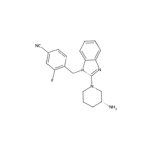 N#Cc1ccc(Cn2c(N3CCC[C@@H](N)C3)nc3ccccc32)c(F)c1